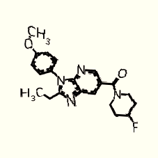 CCc1nc2cc(C(=O)N3CCC(F)CC3)cnc2n1-c1ccc(OC)cc1